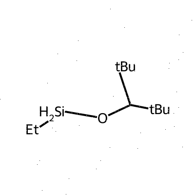 [CH2]C[SiH2]OC(C(C)(C)C)C(C)(C)C